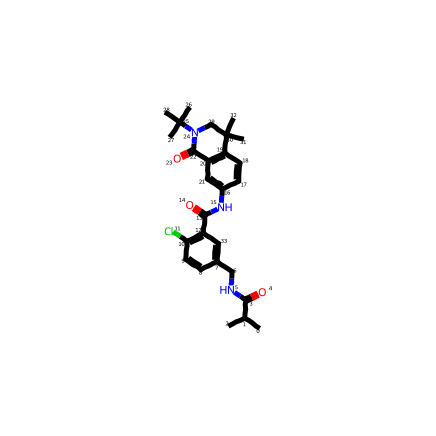 CC(C)C(=O)NCc1ccc(Cl)c(C(=O)Nc2ccc3c(c2)C(=O)N(C(C)(C)C)CC3(C)C)c1